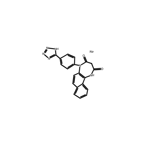 O=C1CC(=O)N(c2ccc(-c3nnn[nH]3)cc2)c2ccc3ccccc3c2N1.[Na]